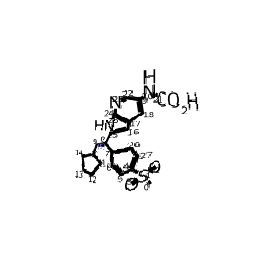 CS(=O)(=O)c1ccc(/C(=C\C2CCCC2)c2cc3cc(NC(=O)O)cnc3[nH]2)cc1